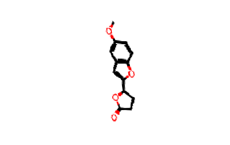 COc1ccc2oc(C3CCC(=O)O3)cc2c1